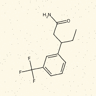 CCC(CC(N)=O)c1cccc(C(F)(F)F)c1